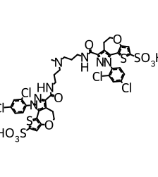 CN(CCCNC(=O)c1nn(-c2ccc(Cl)cc2Cl)c2c1CCOc1cc(S(=O)(=O)O)sc1-2)CCCNC(=O)c1nn(-c2ccc(Cl)cc2Cl)c2c1CCOc1cc(S(=O)(=O)O)sc1-2